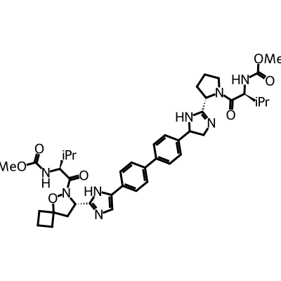 COC(=O)N[C@H](C(=O)N1CCC[C@H]1C1=NCC(c2ccc(-c3ccc(-c4cnc([C@@H]5CC6(CCC6)ON5C(=O)[C@@H](NC(=O)OC)C(C)C)[nH]4)cc3)cc2)N1)C(C)C